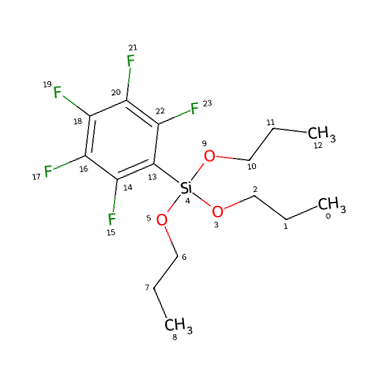 CCCO[Si](OCCC)(OCCC)c1c(F)c(F)c(F)c(F)c1F